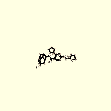 O=C(NC1C2CC3CC1CC(O)(C3)C2)c1cnc(NC[C@H]2CCCO2)nc1C1CCCC1